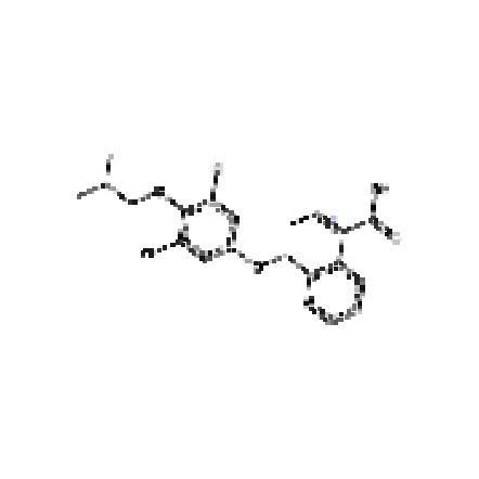 C/C=C(/C(=O)O)c1ccccc1COc1cc(Cl)c(OCC(C)C)c(Cl)c1